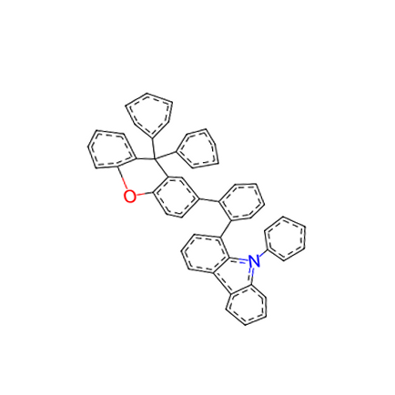 c1ccc(-n2c3ccccc3c3cccc(-c4ccccc4-c4ccc5c(c4)C(c4ccccc4)(c4ccccc4)c4ccccc4O5)c32)cc1